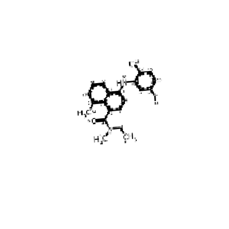 CCN(C)C(=O)c1ccc(Nc2cc(F)ccc2Cl)c2cccc(C)c12